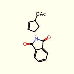 CC(=O)O[C@@H]1C=C[C@@H](N2C(=O)c3ccccc3C2=O)C1